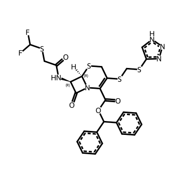 O=C(CSC(F)F)N[C@@H]1C(=O)N2C(C(=O)OC(c3ccccc3)c3ccccc3)=C(SCSc3c[nH]nn3)CS[C@H]12